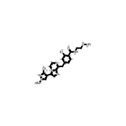 CCCCn1cc(-c2cnc3c(Cc4ccc(C(=O)NCCOCCC)c(CC)c4)nccn23)c(C(F)(F)F)n1